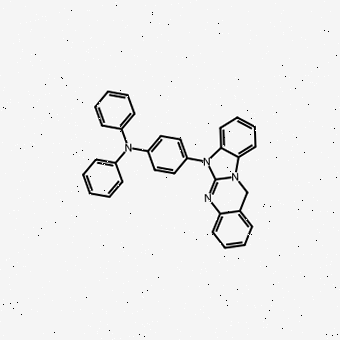 c1ccc(N(c2ccccc2)c2ccc(N3C4=Nc5ccccc5CN4c4ccccc43)cc2)cc1